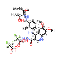 CCOc1cc2ncc(C(N)=O)c(Nc3cccc(CNC(C(=O)NC)C(C)O)c3CC)c2cc1OCC.O=C(O)C(F)(F)F.O=C(O)C(F)(F)F